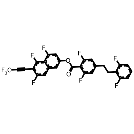 O=C(Oc1cc(F)c2c(F)c(C#CC(F)(F)F)c(F)cc2c1)c1c(F)cc(CCc2c(F)cccc2F)cc1F